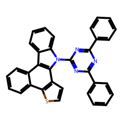 c1ccc(-c2nc(-c3ccccc3)nc(-n3c4ccccc4c4c5ccccc5c5sccc5c43)n2)cc1